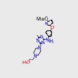 COc1ccc(Oc2ccc(Nc3nc(C)nc(N4CCN(CCO)CC4)n3)cc2)cn1